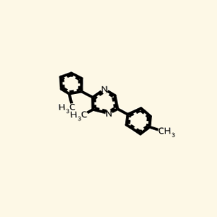 Cc1ccc(-c2cnc(-c3ccccc3C)c(C)n2)cc1